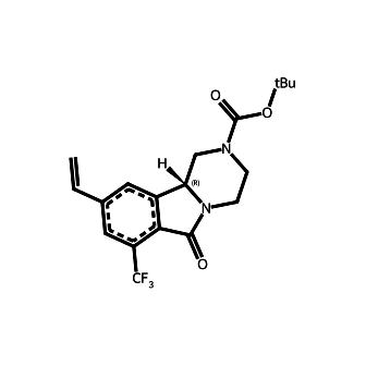 C=Cc1cc2c(c(C(F)(F)F)c1)C(=O)N1CCN(C(=O)OC(C)(C)C)C[C@@H]21